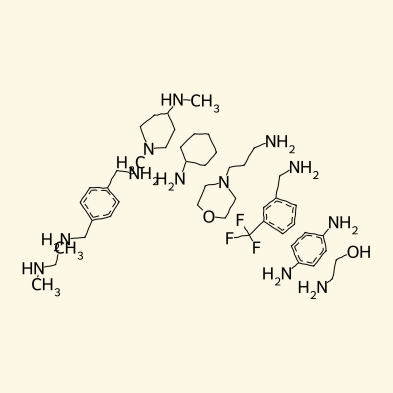 CCNC.CNC1CCN(C)CC1.NC1CCCCC1.NCCCN1CCOCC1.NCCO.NCc1ccc(CN)cc1.NCc1cccc(C(F)(F)F)c1.Nc1ccc(N)cc1